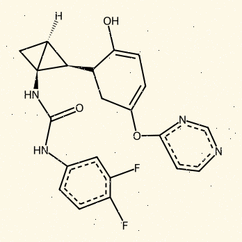 O=C(Nc1ccc(F)c(F)c1)N[C@@]12C[C@H]1[C@H]2C1CC(Oc2ccncn2)=CC=C1O